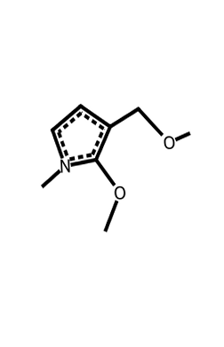 COCc1ccn(C)c1OC